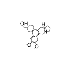 COc1cc2c3c(c4ccc(CO)cc4c2cc1OC)C[C@@H]1CCCN1C3